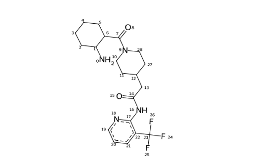 NC1CCCCC1C(=O)N1CCC(CC(=O)Nc2ncccc2C(F)(F)F)CC1